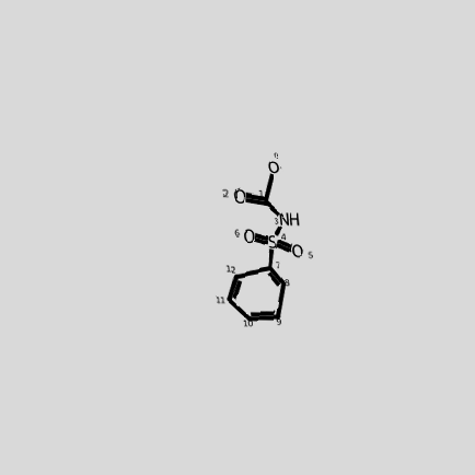 [O]C(=O)NS(=O)(=O)c1ccccc1